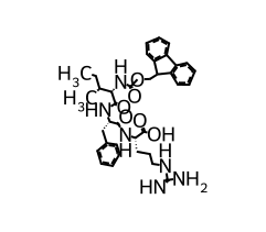 CC[C@H](C)[C@H](NC(=O)OCC1c2ccccc2-c2ccccc21)C(=O)N[C@@H](Cc1ccccc1)C(=O)N[C@@H](CCCNC(=N)N)C(=O)O